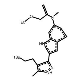 C=C(COCC)N(C)c1ccc2cc(-c3n[nH]c(C)c3CCC(C)(C)C)[nH]c2c1